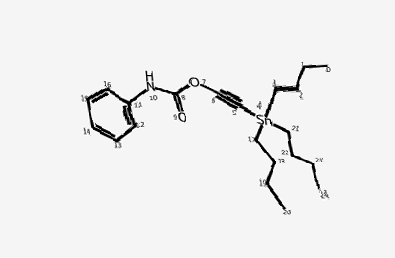 CCC[CH2][Sn]([C]#COC(=O)Nc1ccccc1)([CH2]CCC)[CH2]CCC